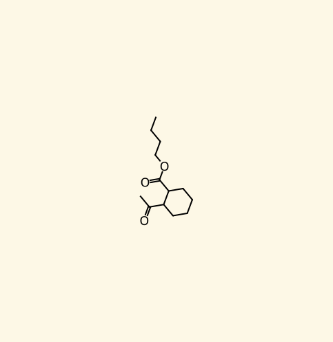 CCCCOC(=O)C1CCCCC1C(C)=O